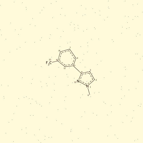 Cn1ccc(-c2cccc(C(F)(F)F)c2)n1